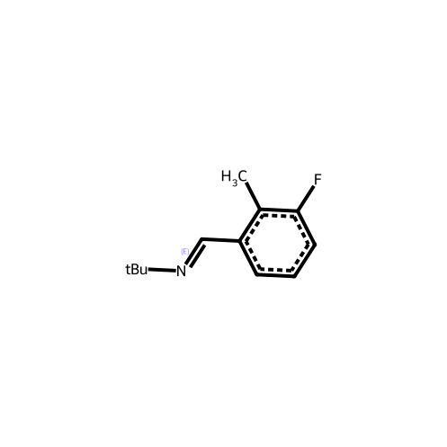 Cc1c(F)cccc1/C=N/C(C)(C)C